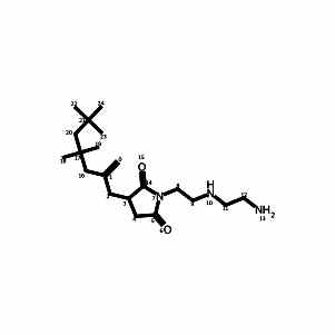 C=C(CC1CC(=O)N(CCNCCN)C1=O)CC(C)(C)CC(C)(C)C